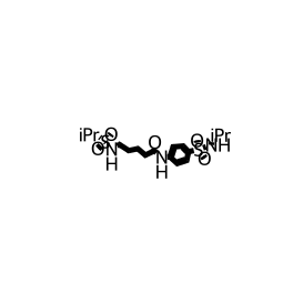 CC(C)NS(=O)(=O)c1ccc(NC(=O)CCCCNS(=O)(=O)C(C)C)cc1